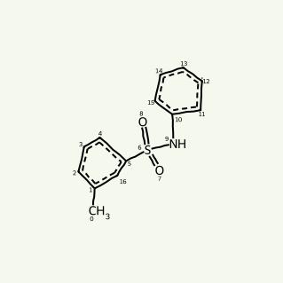 Cc1cccc(S(=O)(=O)Nc2c[c]ccc2)c1